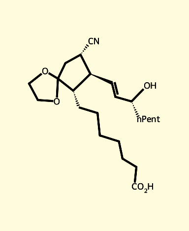 CCCCC[C@@H](O)C=C[C@@H]1[C@@H](C#N)CC2(OCCO2)[C@H]1CCCCCCC(=O)O